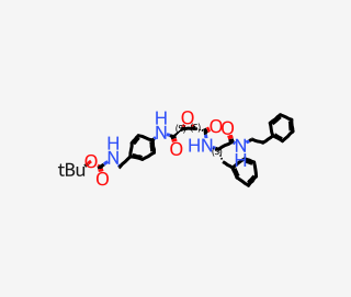 CC(C)(C)OC(=O)NCc1ccc(NC(=O)[C@H]2O[C@@H]2C(=O)N[C@@H](Cc2ccccc2)C(=O)NCCc2ccccc2)cc1